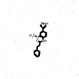 COc1cc(-c2cn[nH]c2)ccc1NC(=O)CCc1ccccc1